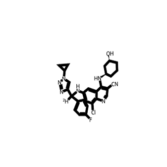 [2H]C(Nc1cc(Cl)c2ncc(C#N)c(N[C@@H]3CCC[C@@H](O)C3)c2c1)(c1ccc(F)cc1)c1cn(C2CC2)nn1